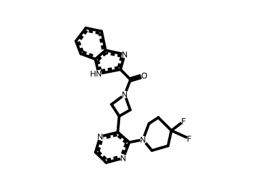 O=C(c1nc2ccccc2[nH]1)N1CC(c2nccnc2N2CCC(F)(F)CC2)C1